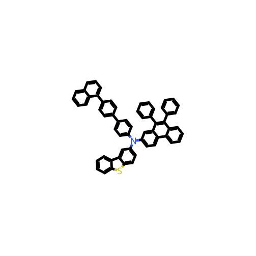 c1ccc(-c2c(-c3ccccc3)c3cc(N(c4ccc(-c5ccc(-c6cccc7ccccc67)cc5)cc4)c4ccc5sc6ccccc6c5c4)ccc3c3ccccc23)cc1